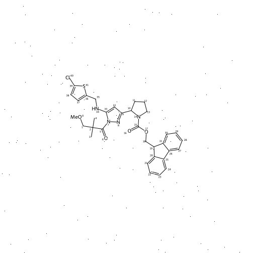 COCC(C)(C)C(=O)n1nc(C2CCCN2C(=O)OCC2c3ccccc3-c3ccccc32)cc1NCc1ccc(Cl)s1